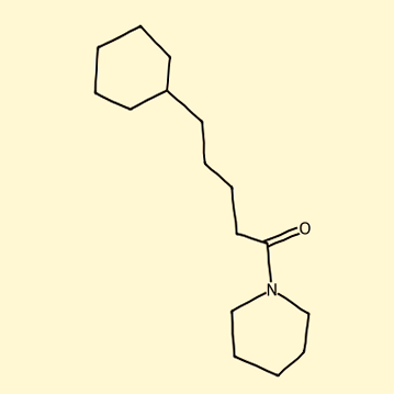 O=C(CCCCC1CCCCC1)N1CCCCC1